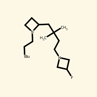 CC(C)(C)CCN1CCC1CC(C)(C)CCN1CC(F)C1